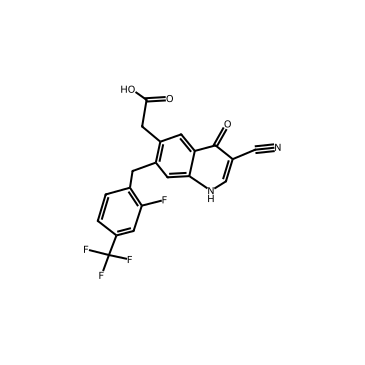 N#Cc1c[nH]c2cc(Cc3ccc(C(F)(F)F)cc3F)c(CC(=O)O)cc2c1=O